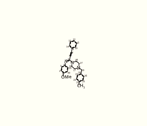 COc1ccc(/N=C(/C#Cc2ccccc2)N2CCN(Cc3ccc(C)cc3)CC2)cc1